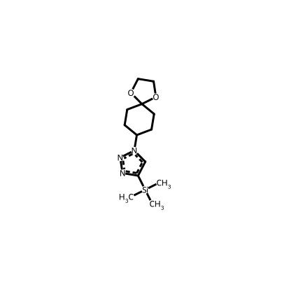 C[Si](C)(C)c1cn(C2CCC3(CC2)OCCO3)nn1